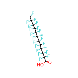 O=C(O)C(F)(F)C(F)(F)C(F)(F)C(F)(F)C(F)(F)C(F)(F)C(F)(F)C(F)(F)C(F)(F)C(F)(F)CF